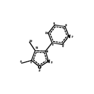 Cc1onc(-c2[c]nccc2)c1C